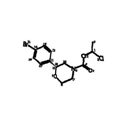 CC(Cl)OC(=O)N1CCO[C@H](c2ccc(Br)cc2)C1